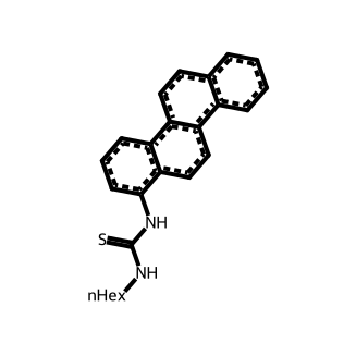 CCCCCCNC(=S)Nc1cccc2c1ccc1c3ccccc3ccc21